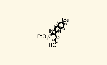 CCOC(=O)c1[nH]c2cc3c(nc2c1CCCO)CCC(C(C)(C)C)C3